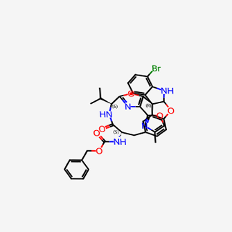 Cc1coc(-c2nc3oc2[C@]24c5cc(ccc5OC2Nc2c(Br)cccc24)C[C@H](NC(=O)OCc2ccccc2)C(=O)N[C@H]3C(C)C)n1